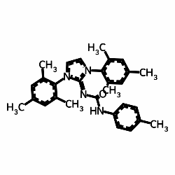 Cc1ccc(NC(=O)N=c2n(-c3c(C)cc(C)cc3C)ccn2-c2c(C)cc(C)cc2C)cc1